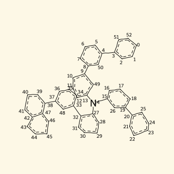 c1ccc(-c2cccc(-c3cccc(N(c4cccc(-c5ccccc5)c4)c4ccccc4-c4cccc(-c5cccc6ccccc56)c4)c3)c2)cc1